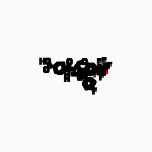 O=C(O)[C@H]1CC[C@](O)(C(=O)N2CCC3(S(=O)(=O)c4ccc(F)cc4)c4ccc(C(F)(C(F)(F)F)C(F)(F)F)cc4OCC23)CC1